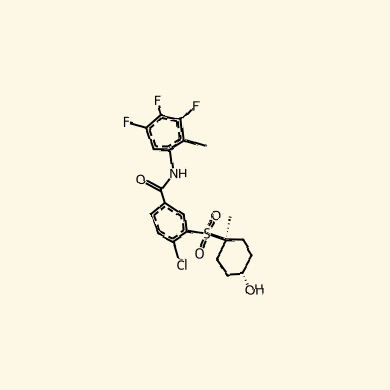 Cc1c(NC(=O)c2ccc(Cl)c(S(=O)(=O)[C@]3(C)CC[C@@H](O)CC3)c2)cc(F)c(F)c1F